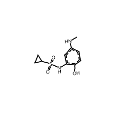 CNc1ccc(O)c(NS(=O)(=O)C2CC2)c1